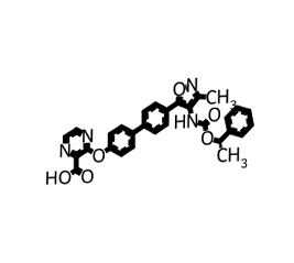 Cc1noc(-c2ccc(-c3ccc(Oc4nccnc4C(=O)O)cc3)cc2)c1NC(=O)O[C@H](C)c1ccccc1